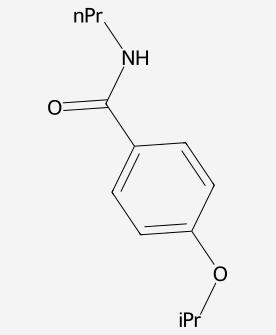 CCCNC(=O)c1ccc(OC(C)C)cc1